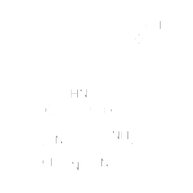 COCc1ccc(NC(=O)c2c(Cl)n(C3(C)CC3)c3ncnc(N)c23)cc1